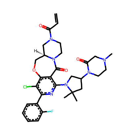 C=CC(=O)N1CCN2C(=O)c3c(N4CC(N5CCN(C)CC5=O)CC4(C)C)nc(-c4ccccc4F)c(Cl)c3OC[C@H]2C1